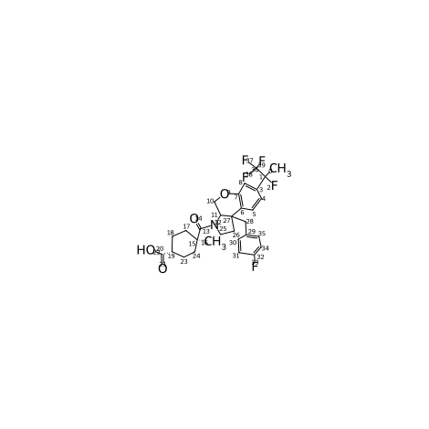 CC(F)(c1ccc2c(c1)OCC1N(C(=O)[C@]3(C)CC[C@@H](C(=O)O)CC3)CCC21Cc1ccc(F)cc1)C(F)(F)F